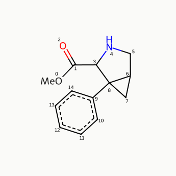 COC(=O)C1NCC2CC21c1ccccc1